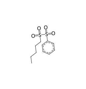 CCCCCS(=O)(=O)S(=O)(=O)c1ccccc1